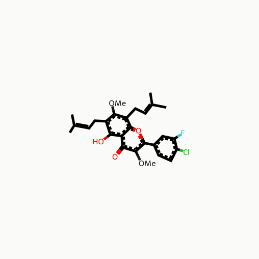 COc1c(CC=C(C)C)c(O)c2c(=O)c(OC)c(-c3ccc(Cl)c(F)c3)oc2c1CC=C(C)C